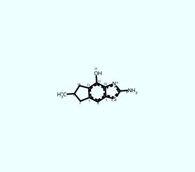 CC1Cc2cc3sc(N)nc3c(O)c2C1